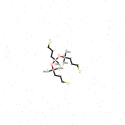 CO[Si](CCCS)(OC)O[Si](CCCS)(OC)O[Si](CCCS)(OC)OC